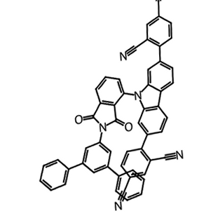 N#Cc1ccc(-c2ccc3c4ccc(-c5ccc(C#N)cc5C#N)cc4n(-c4cccc5c4C(=O)N(c4cc(-c6ccccc6)cc(-c6ccccc6)c4)C5=O)c3c2)c(C#N)c1